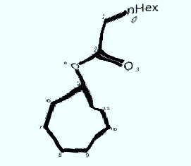 [CH2]CCCCCCC(=O)OC1CCCCCC1